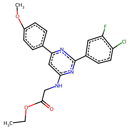 CCOC(=O)CNc1cc(-c2ccc(OC)cc2)nc(-c2ccc(Cl)c(F)c2)n1